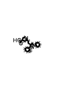 O=C(O)c1ccnc(C=Cc2cn(-c3ccccc3)nc2-c2ccccc2F)c1